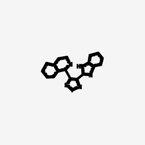 [c]1nc(-c2nc3ccccc3[nH]2)c(-c2nccc3ccccc23)s1